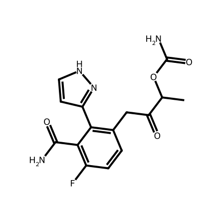 CC(OC(N)=O)C(=O)Cc1ccc(F)c(C(N)=O)c1-c1cc[nH]n1